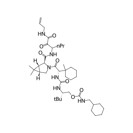 C=CCNC(=O)C(=O)C(CCC)NC(=O)[C@@H]1[C@@H]2[C@H](CN1C(=O)[C@@H](NC(=O)N[C@H](COC(=O)NCC1CCCCC1)C(C)(C)C)C1(C)CCCCC1)C2(C)C